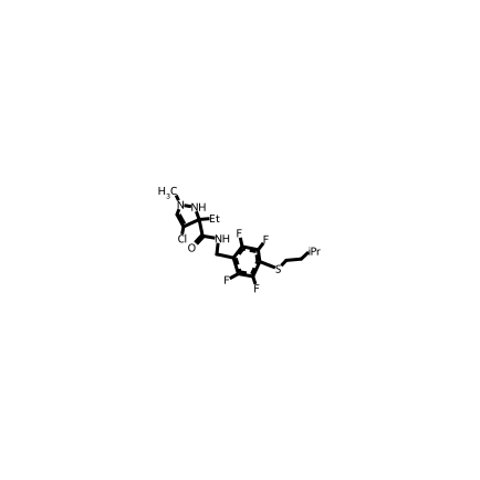 CCC1(C(=O)NCc2c(F)c(F)c(SCCC(C)C)c(F)c2F)NN(C)C=C1Cl